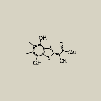 Cc1c(C)c(O)c2c(c1O)SC(=C(C#N)C(=O)C(C)(C)C)S2